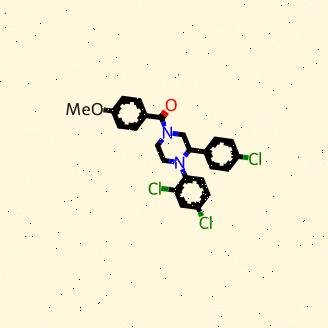 COc1ccc(C(=O)N2CCN(c3ccc(Cl)cc3Cl)C(c3ccc(Cl)cc3)C2)cc1